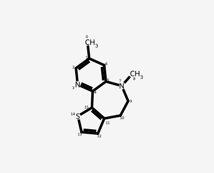 Cc1cnc2c(c1)N(C)CCc1ccsc1-2